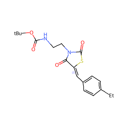 CCc1ccc(/C=C2\SC(=O)N(CCNC(=O)OC(C)(C)C)C2=O)cc1